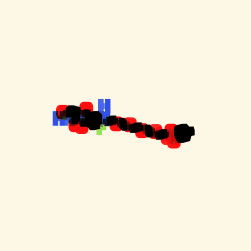 Cc1ccc(S(=O)(=O)OCCOCCOCCOCCOCCNc2cc3c(cc2F)C(=O)N(C2CCC(=O)NC2=O)C3=O)cc1